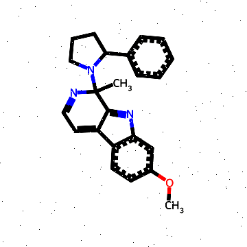 COc1ccc2c(c1)N=C1C2=CC=NC1(C)N1CCCC1c1ccccc1